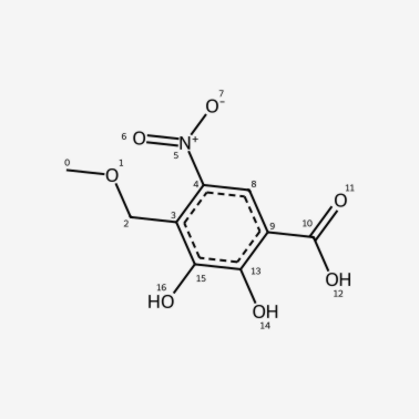 COCc1c([N+](=O)[O-])cc(C(=O)O)c(O)c1O